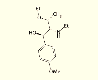 CCN[C@H]([C@H](O)c1ccc(OC)cc1)[C@@H](C)OCC